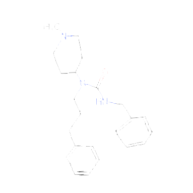 CN1CCC(N(CCCc2ccccc2)C(=O)NCc2ccccc2)CC1